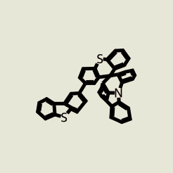 c1ccc2c(c1)Sc1ccc(-c3ccc4sc5ccccc5c4c3)cc1C21c2ccccc2-n2c3ccccc3c3cccc1c32